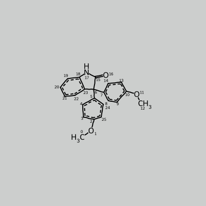 COc1ccc(C2(c3ccc(OC)cc3)C(=O)Nc3ccccc32)cc1